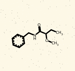 CCC(OC)C(=O)NCc1ccccc1